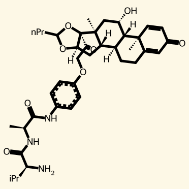 CCCC1O[C@@H]2C[C@H]3[C@@H]4CCC5=CC(=O)C=C[C@]5(C)[C@H]4[C@@H](O)C[C@]3(C)[C@]2(C(=O)COc2ccc(NC(=O)[C@H](C)NC(=O)[C@@H](N)C(C)C)cc2)O1